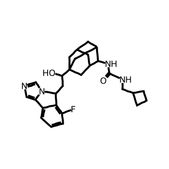 O=C(NCC1CCC1)NC1C2CC3CC1CC(C(O)CC1c4c(F)cccc4-c4cncn41)(C3)C2